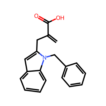 C=C(Cc1cc2ccccc2n1Cc1ccccc1)C(=O)O